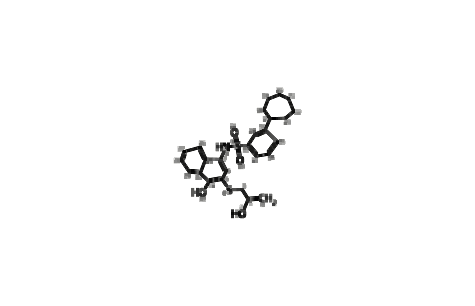 C=C(O)CSc1cc(NS(=O)(=O)c2cccc(C3CCCCCC3)c2)c2ccccc2c1O